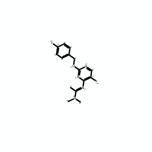 C/C(=N\c1nc(OCc2ccc(F)cc2)ncc1F)N(C)C